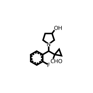 O=CC1(C(c2ccccc2F)N2CCC(O)C2)CC1